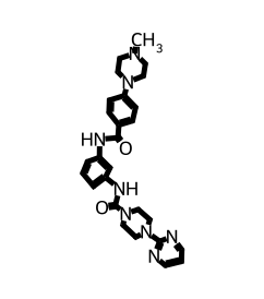 CN1CCN(c2ccc(C(=O)Nc3cccc(NC(=O)N4CCN(c5ncccn5)CC4)c3)cc2)CC1